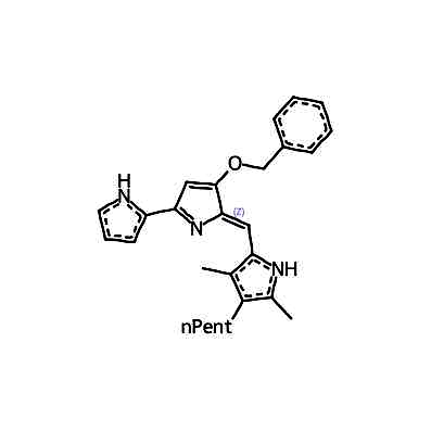 CCCCCc1c(C)[nH]c(/C=C2\N=C(c3ccc[nH]3)C=C2OCc2ccccc2)c1C